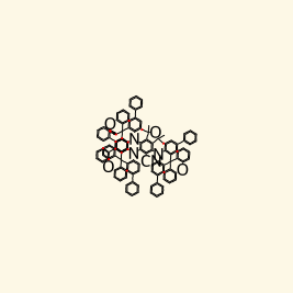 CC1(C)OC(C)(C)c2c(N3c4ccc(-c5ccccc5)cc4C4(c5ccccc5Oc5ccccc54)c4cc(-c5ccccc5)ccc43)c(N3c4ccc(-c5ccccc5)cc4C4(c5ccccc5Oc5ccccc54)c4cc(-c5ccccc5)ccc43)c(C#N)c(N3c4ccc(-c5ccccc5)cc4C4(c5ccccc5Oc5ccccc54)c4cc(-c5ccccc5)ccc43)c21